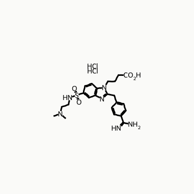 CN(C)CCNS(=O)(=O)c1ccc2c(c1)nc(Cc1ccc(C(=N)N)cc1)n2CCCC(=O)O.Cl.Cl